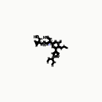 CC/C=C1/C(c2cnn(C(CC)CC)c2)=NC(/C(C=N)=C/NCC2(CO)CC2)=CN1C